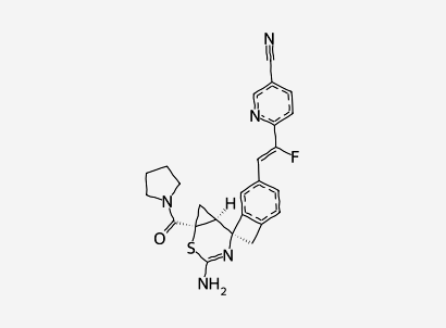 N#Cc1ccc(/C(F)=C/c2ccc3c(c2)[C@@]2(C3)N=C(N)S[C@@]3(C(=O)N4CCCC4)C[C@H]32)nc1